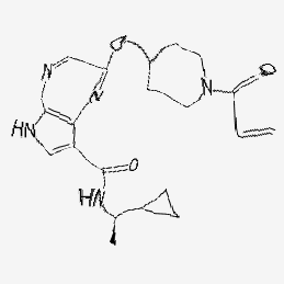 C=CC(=O)N1CCC(Oc2cnc3[nH]cc(C(=O)N[C@H](C)C4CC4)c3n2)CC1